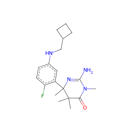 CN1C(=O)C(C)(C)C(C)(c2cc(NCC3CCC3)ccc2F)N=C1N